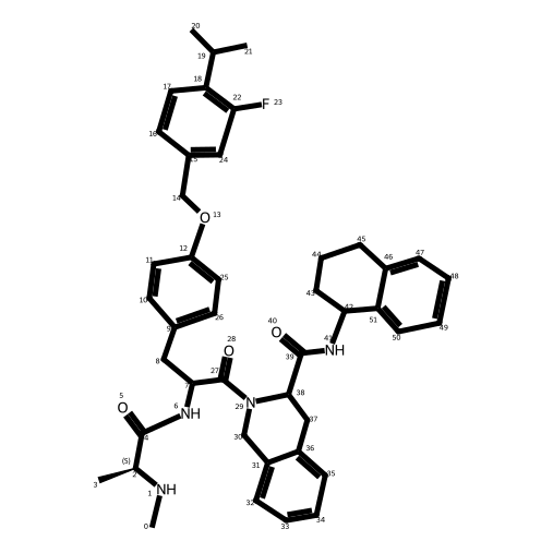 CN[C@@H](C)C(=O)NC(Cc1ccc(OCc2ccc(C(C)C)c(F)c2)cc1)C(=O)N1Cc2ccccc2CC1C(=O)NC1CCCc2ccccc21